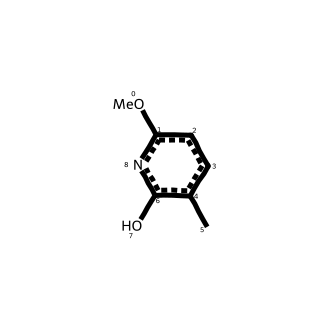 COc1ccc(C)c(O)n1